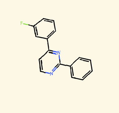 Fc1cccc(-c2ccnc(-c3ccccc3)n2)c1